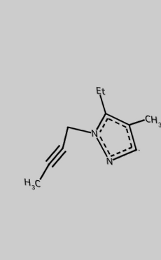 CC#CCn1n[c]c(C)c1CC